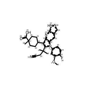 COc1cc(-n2c(C(C)(C)CC#N)c(C3CCC(C)(C(=O)O)CC3)c3nc4[nH]ncc4cc32)ccc1F